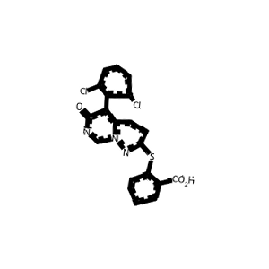 O=C(O)c1ccccc1Sc1ccc2c(-c3c(Cl)cccc3Cl)c(=O)ncn2n1